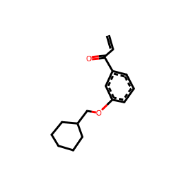 C=CC(=O)c1cccc(OCC2CCCCC2)c1